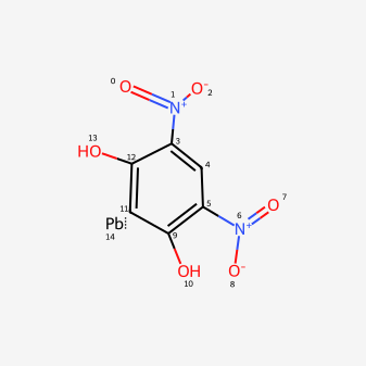 O=[N+]([O-])c1cc([N+](=O)[O-])c(O)cc1O.[Pb]